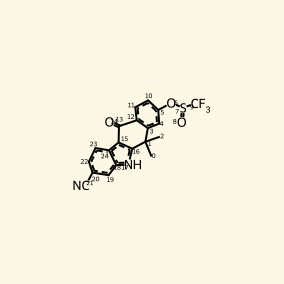 CC1(C)c2cc(OS(=O)C(F)(F)F)ccc2C(=O)c2c1[nH]c1cc(C#N)ccc21